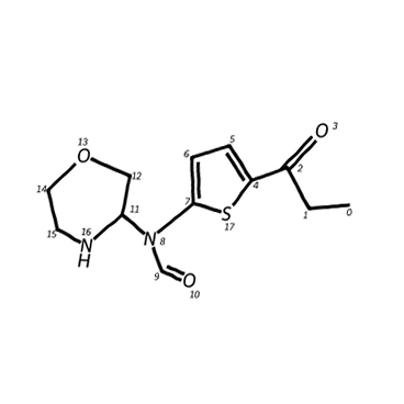 CCC(=O)c1ccc(N(C=O)C2COCCN2)s1